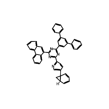 C1=C[C@H]2CC2(c2ccc(-c3nc(-c4cc(-c5ccccc5)cc(-c5ccccc5)c4)nc(-c4cc5ccccc5c5ccccc45)n3)nc2)C=C1